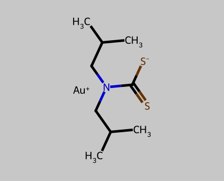 CC(C)CN(CC(C)C)C(=S)[S-].[Au+]